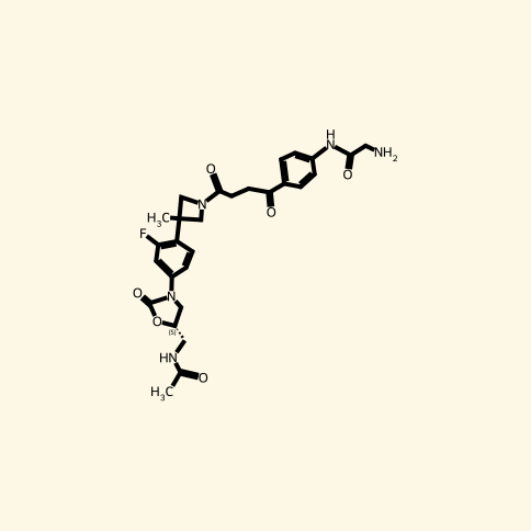 CC(=O)NC[C@H]1CN(c2ccc(C3(C)CN(C(=O)CCC(=O)c4ccc(NC(=O)CN)cc4)C3)c(F)c2)C(=O)O1